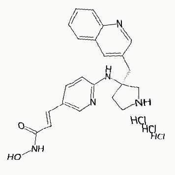 Cl.Cl.Cl.O=C(/C=C/c1ccc(N[C@]2(Cc3cnc4ccccc4c3)CCNC2)nc1)NO